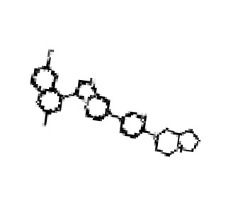 Cc1cc(-c2cnc3cc(-c4ccc(N5CCN6CCCC6C5)nc4)ccn23)c2cc(F)ccc2n1